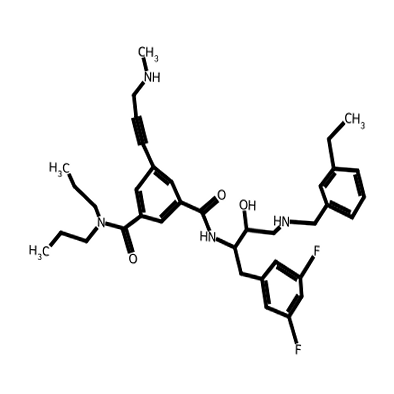 CCCN(CCC)C(=O)c1cc(C#CCNC)cc(C(=O)NC(Cc2cc(F)cc(F)c2)C(O)CNCc2cccc(CC)c2)c1